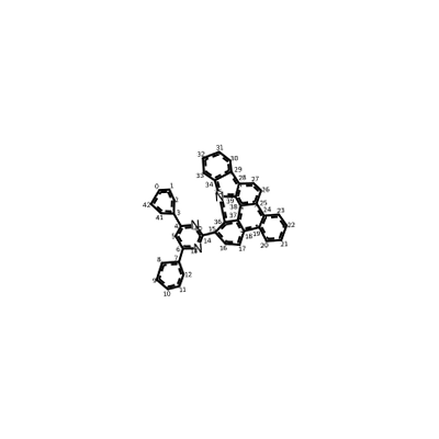 c1ccc(-c2cc(-c3ccccc3)nc(-c3ccc4c5ccccc5c5ccc6c7ccccc7n7c3c4c5c67)n2)cc1